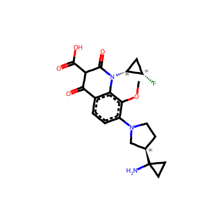 COc1c(N2CC[C@@H](C3(N)CC3)C2)ccc2c1N([C@@H]1C[C@@H]1F)C(=O)C(C(=O)O)C2=O